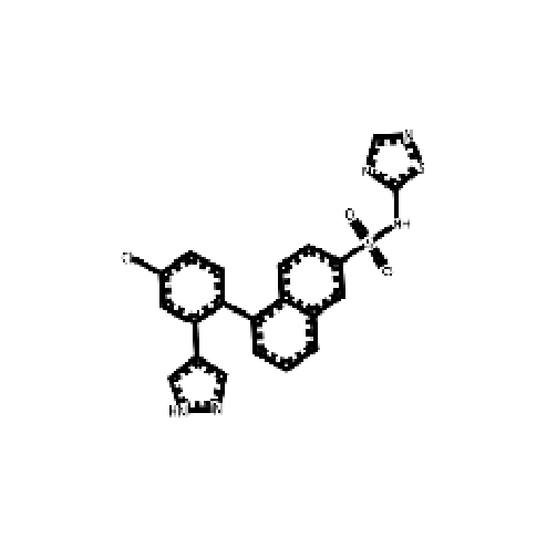 O=S(=O)(Nc1ncns1)c1ccc2c(-c3ccc(Cl)cc3-c3cn[nH]c3)cccc2c1